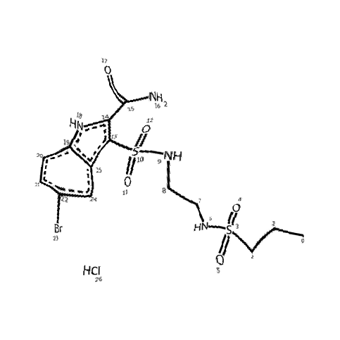 CCCS(=O)(=O)NCCNS(=O)(=O)c1c(C(N)=O)[nH]c2ccc(Br)cc12.Cl